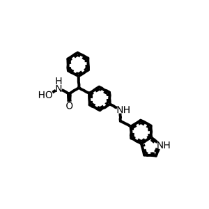 O=C(NO)C(c1ccccc1)c1ccc(NCc2ccc3[nH]ccc3c2)cc1